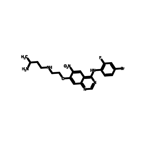 CC(N)CCNCCOc1cc2ncnc(Nc3ccc(Br)cc3F)c2cc1[N+](=O)[O-]